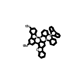 CC(C)(C)c1ccc2c(c1)c1cc(C(C)(C)C)cc3c1n2B1c2cccc4c2N(c2ccccc2[Si]42c4ccccc4-c4ccccc42)c2cc4c(oc5ccccc54)c-3c21